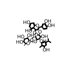 C[C@@H]1O[C@@H](OC[C@H]2O[C@@H](Oc3c(-c4ccc(O)c(O)c4)oc4cc(O)cc(O)c4c3=O)[C@H](O)[C@@H](O)[C@@H]2O)[C@H](O)[C@H](O)[C@H]1O.Cc1ccc(C(C)C)cc1O